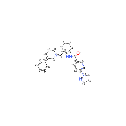 O=C(N[C@H]1CCCC[C@@H]1CN1CCCC(c2ccccc2)C1)c1ccc(N2CCC=N2)nc1